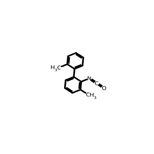 Cc1ccccc1-c1cccc(C)c1N=C=O